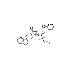 CC(C)(N)C(=O)NC(CCOc1ccccc1)C(=O)N1CCC2(CCc3ccccc32)CC1